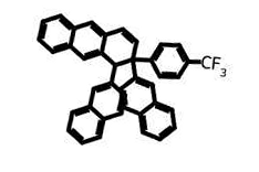 FC(F)(F)c1ccc(C2(c3ccc4ccccc4c3)C=Cc3cc4ccccc4cc3C2c2ccc3ccccc3c2)cc1